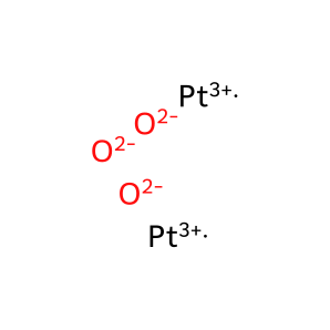 [O-2].[O-2].[O-2].[Pt+3].[Pt+3]